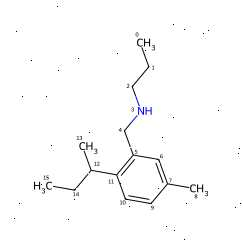 CCCNCc1cc(C)ccc1C(C)CC